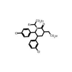 CCOC(=O)C(CC)N1C(=O)C(CC(=O)O)CC(c2cccc(Cl)c2)C1c1ccc(Cl)cc1